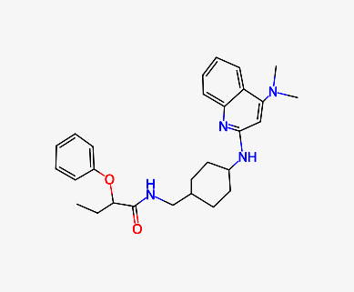 CCC(Oc1ccccc1)C(=O)NCC1CCC(Nc2cc(N(C)C)c3ccccc3n2)CC1